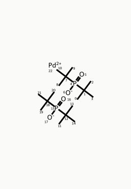 CC(C)(C)P(=O)([O-])C(C)(C)C.CC(C)(C)P(=O)([O-])C(C)(C)C.[Pd+2]